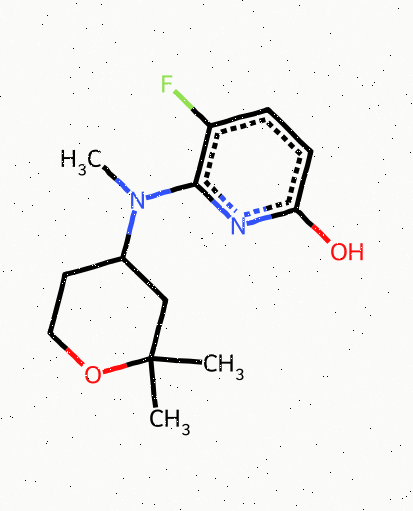 CN(c1nc(O)ccc1F)C1CCOC(C)(C)C1